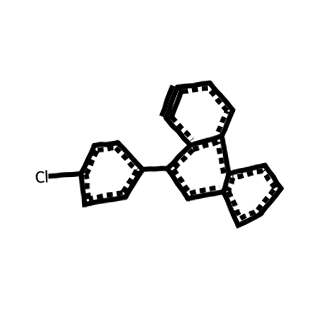 Clc1ccc(-c2cc3ccccc3c3ccc#cc23)cc1